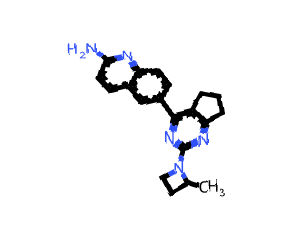 CC1CCN1c1nc2c(c(-c3ccc4nc(N)ccc4c3)n1)CCC2